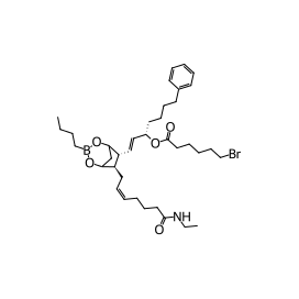 CCCCB1OC2CC(O1)[C@H](C/C=C\CCCC(=O)NCC)[C@H]2/C=C/[C@H](CCCCc1ccccc1)OC(=O)CCCCCBr